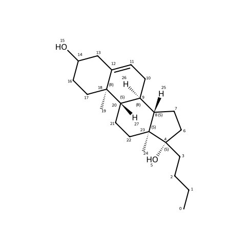 CCCC[C@]1(O)CC[C@H]2[C@@H]3CC=C4CC(O)CC[C@]4(C)[C@H]3CC[C@@]21C